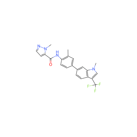 Cc1cc(-c2ccc3c(C(F)(F)F)cn(C)c3c2)ccc1NC(=O)c1ccnn1C